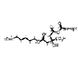 CCCCCCCCCCCCCCCOC(=O)CC(O)(CC(=O)OC(=O)CCCCCCC)C(=O)O